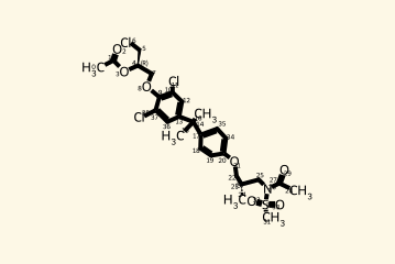 CC(=O)O[C@@H](CCl)COc1c(Cl)cc(C(C)(C)c2ccc(OC[C@@H](C)CN(C(C)=O)S(C)(=O)=O)cc2)cc1Cl